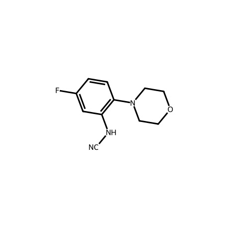 N#CNc1cc(F)ccc1N1CCOCC1